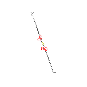 CC(C)CCCCCCCCCCCCCCCOC(=O)CCSCCC(=O)OCCCCCCCCCCCCCCCC(C)C